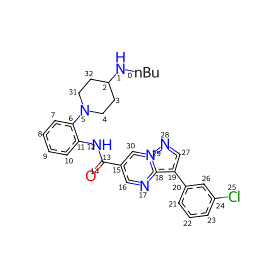 CCCCNC1CCN(c2ccccc2NC(=O)c2cnc3c(-c4cccc(Cl)c4)cnn3c2)CC1